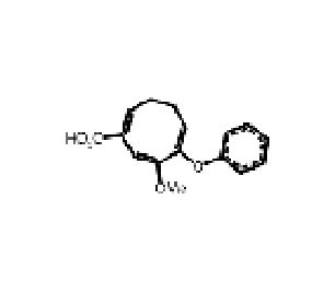 COC1=C/C(C(=O)O)=C\CC/C=C\1Oc1ccccc1